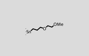 COCCOCC[CH2][Sn]